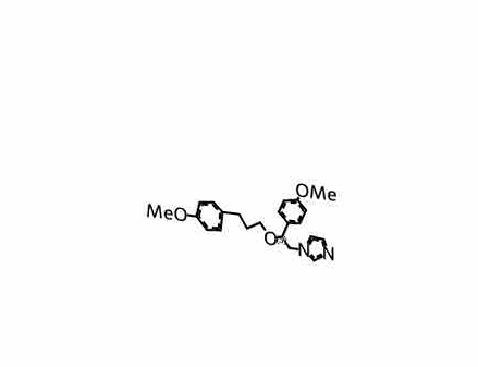 COc1ccc(CCCO[C@H](Cn2ccnc2)c2ccc(OC)cc2)cc1